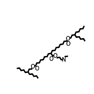 CCCCCC(CCCCC)CCOC(=O)CCCCCCCC(CCCCCCCC(=O)OCCC(CCCCC)CCCCC)C(=O)OCCCN(C)CC